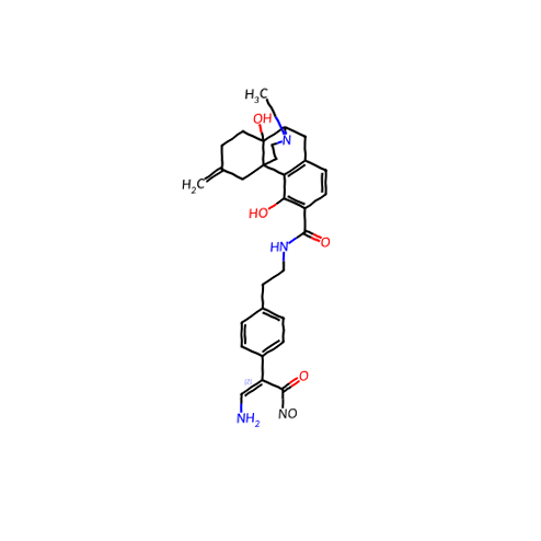 C=C1CCC2(O)C3Cc4ccc(C(=O)NCCc5ccc(/C(=C/N)C(=O)N=O)cc5)c(O)c4C2(CCN3C)C1